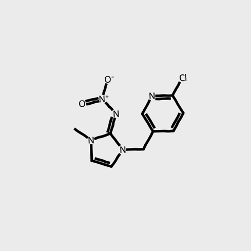 Cn1ccn(Cc2ccc(Cl)nc2)c1=N[N+](=O)[O-]